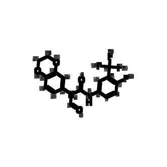 O=CN(C(=O)Nc1ccc(F)c(C(F)(F)F)c1)c1ccc2c(c1)OCCO2